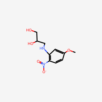 COc1ccc([N+](=O)[O-])c(NCC(O)CO)c1